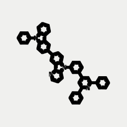 c1ccc(-c2cc(-c3cccc(-n4c5ccc(-c6ccc7c(c6)c6ccccc6n7-c6ccccc6)cc5c5ncccc54)c3)cc(-c3ccccc3)n2)cc1